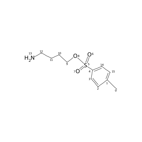 Cc1ccc(S(=O)(=O)OCCCCN)cc1